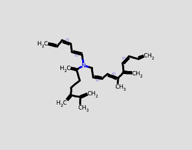 C=C/C=C\C=C\N(C/C=C\C=C(/C)C(=C)/C=C\C=C)C(=C)CCC(=C)C(=C)C